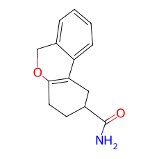 NC(=O)C1CCC2=C(C1)c1ccccc1CO2